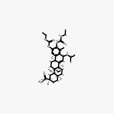 CCOC(=O)Oc1cc2c(c(C)c1OC(=O)OCC)C(SC(C)C)C=C1[C@@]2(C)CC[C@@]2(CC)[C@@H]3C[C@](C)(C(N)=O)CC[C@]3(C)CC[C@]12C